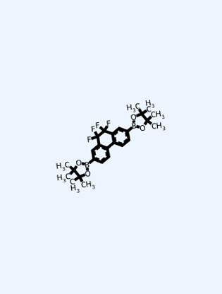 CC1(C)OB(c2ccc3c(c2)C(F)(F)C(F)(F)c2cc(B4OC(C)(C)C(C)(C)O4)ccc2-3)OC1(C)C